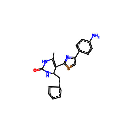 CC1=C(c2nc(-c3ccc(N)cc3)cs2)C(Cc2ccccc2)NC(=O)N1